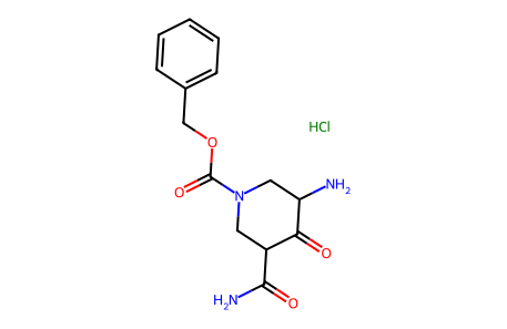 Cl.NC(=O)C1CN(C(=O)OCc2ccccc2)CC(N)C1=O